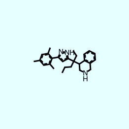 CCCC(CC)(c1cc(-c2c(C)cc(C)cc2C)n[nH]1)C1CNCc2ccccc21